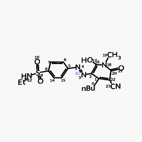 CCCCc1c(/N=N/c2ccc(S(=O)(=O)NCC)cc2)c(O)n(C)c(=O)c1C#N